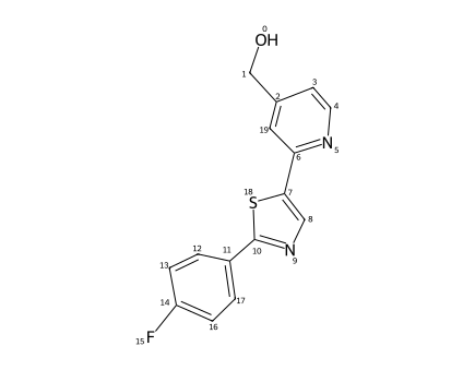 OCc1ccnc(-c2cnc(-c3ccc(F)cc3)s2)c1